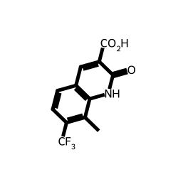 Cc1c(C(F)(F)F)ccc2cc(C(=O)O)c(=O)[nH]c12